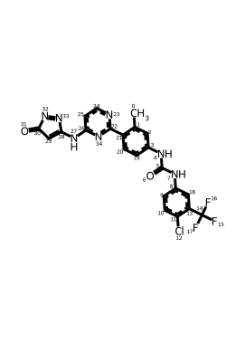 Cc1cc(NC(=O)Nc2ccc(Cl)c(C(F)(F)F)c2)ccc1-c1nccc(NC2=CC(=O)N=N2)n1